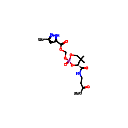 COC(=O)CCNC(=O)[C@@H]1O[P@@](=O)(OCOC(=O)c2cc(C(C)(C)C)n[nH]2)OCC1(C)C